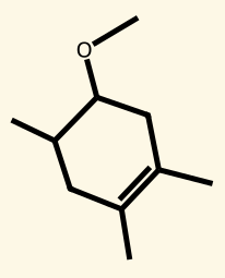 COC1CC(C)=C(C)CC1C